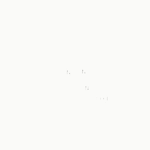 O=C(O)c1cccc(-c2nc3ccccc3n2-c2cccc3ccccc23)n1